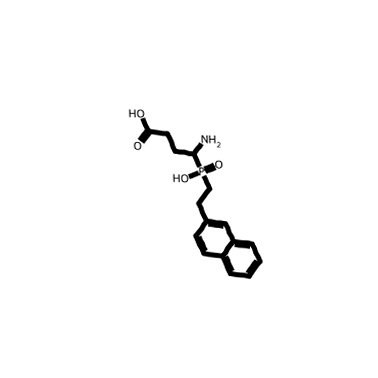 NC(CCC(=O)O)P(=O)(O)CCc1ccc2ccccc2c1